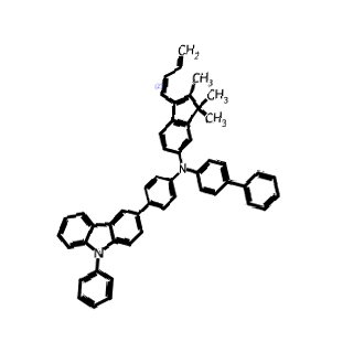 C=C/C=C\C1=C(C)C(C)(C)c2cc(N(c3ccc(-c4ccccc4)cc3)c3ccc(-c4ccc5c(c4)c4ccccc4n5-c4ccccc4)cc3)ccc21